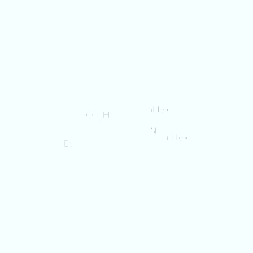 CCCCCCN(CCC=C(CC)C(=O)O)CCCCCC